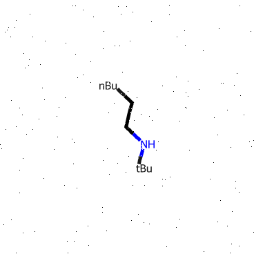 CCCCCCNC(C)(C)C